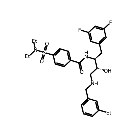 CCc1cccc(CNC[C@@H](O)[C@H](Cc2cc(F)cc(F)c2)NC(=O)c2ccc(S(=O)(=O)N(CC)CC)cc2)c1